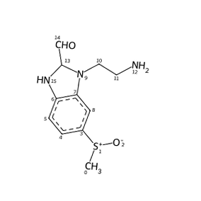 C[S+]([O-])c1ccc2c(c1)N(CCN)C(C=O)N2